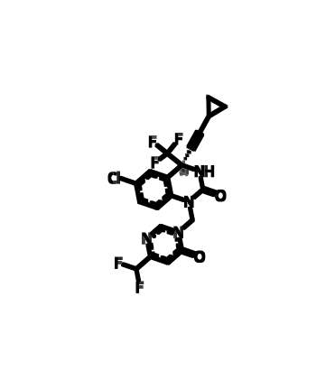 O=C1N[C@](C#CC2CC2)(C(F)(F)F)c2cc(Cl)ccc2N1Cn1cnc(C(F)F)cc1=O